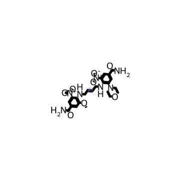 COc1cc(C(N)=O)cc([N+](=O)[O-])c1NC/C=C/CNc1c(N2CCOCC2)cc(C(N)=O)cc1[N+](=O)[O-]